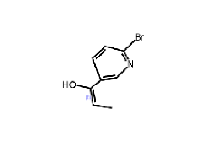 C/C=C(/O)c1ccc(Br)nc1